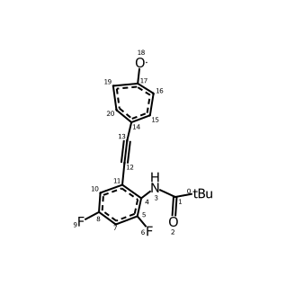 CC(C)(C)C(=O)Nc1c(F)cc(F)cc1C#Cc1ccc([O])cc1